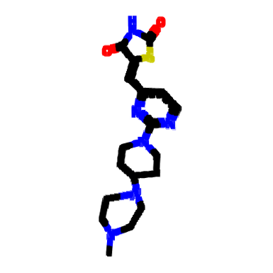 CN1CCN(C2CCN(c3nccc(/C=C4\SC(=O)NC4=O)n3)CC2)CC1